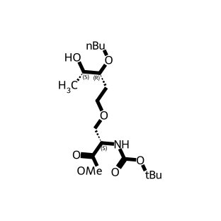 CCCCO[C@H](CCOC[C@H](NC(=O)OC(C)(C)C)C(=O)OC)[C@H](C)O